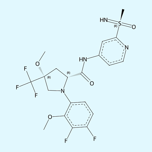 COc1c(N2C[C@@](OC)(C(F)(F)F)C[C@@H]2C(=O)Nc2ccnc([S@](C)(=N)=O)c2)ccc(F)c1F